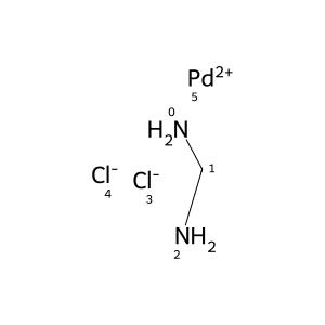 NCN.[Cl-].[Cl-].[Pd+2]